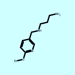 CCOc1ccc(CNCCCN)cn1